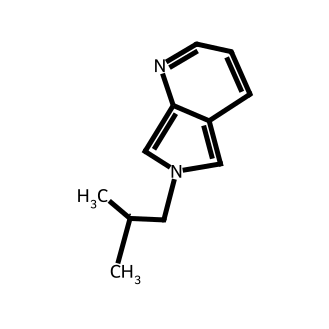 C[C](C)Cn1cc2cccnc2c1